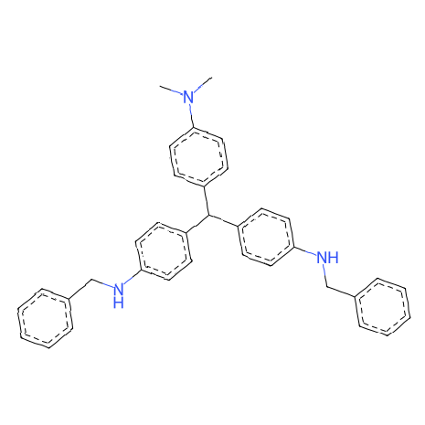 CN(C)c1ccc(C(c2ccc(NCc3ccccc3)cc2)c2ccc(NCc3ccccc3)cc2)cc1